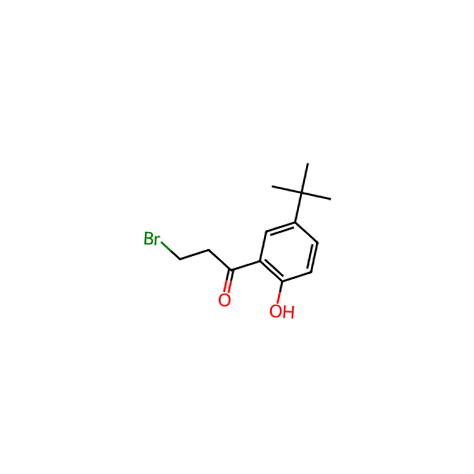 CC(C)(C)c1ccc(O)c(C(=O)CCBr)c1